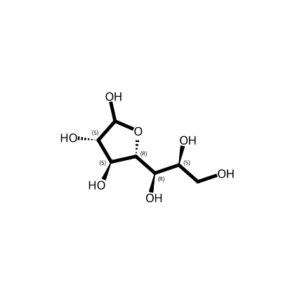 OC[C@H](O)[C@@H](O)[C@H]1OC(O)[C@@H](O)[C@@H]1O